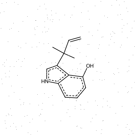 C=CC(C)(C)c1c[nH]c2cccc(O)c12